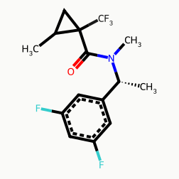 CC1CC1(C(=O)N(C)[C@H](C)c1cc(F)cc(F)c1)C(F)(F)F